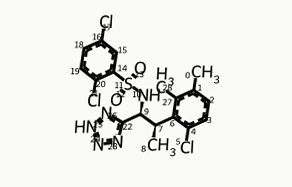 Cc1ccc(Cl)c([C@@H](C)[C@H](NS(=O)(=O)c2cc(Cl)ccc2Cl)c2nn[nH]n2)c1C